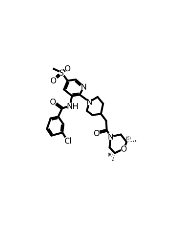 C[C@@H]1CN(C(=O)CC2CCN(c3ncc(S(C)(=O)=O)cc3NC(=O)c3cccc(Cl)c3)CC2)C[C@H](C)O1